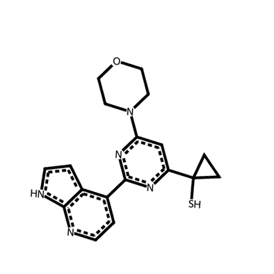 SC1(c2cc(N3CCOCC3)nc(-c3ccnc4[nH]ccc34)n2)CC1